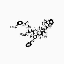 CCCC(NC(=O)[C@@H]1C[C@@H](OCc2ccccc2)CN1C(=O)[C@H](CCCNC(=O)c1cccc(C(=O)O)c1)NC(=O)OCC(C)C)C(=O)C(=O)NCC(=O)N[C@H](C(N)=O)c1ccccc1